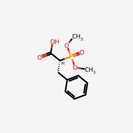 COP(=O)(OC)[C@H](Cc1ccccc1)C(=O)O